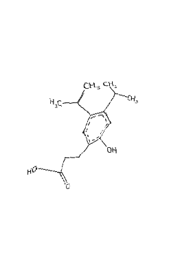 CC(C)c1cc(O)c(CCC(=O)O)cc1C(C)C